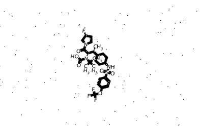 C[C@H](C1CCC(NS(=O)(=O)c2ccc(OC(F)(F)F)cc2)CC1)[C@@H](C(=O)N1CC[C@H](F)C1)N(C(=O)O)C(C)(C)C